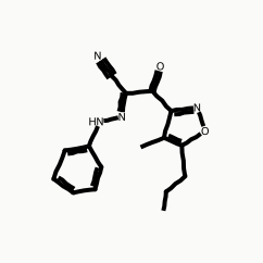 CCCc1onc(C(=O)/C(C#N)=N/Nc2ccccc2)c1C